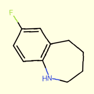 Fc1ccc2c(c1)CCCCN2